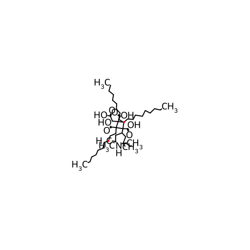 CCCCCCCCCCC(CC(=O)O)(C(=O)O)C(CCCCCCCCCC)(C(=O)O)C(CCCCCCCCCC)(C(=O)O)C1CC(C)(C)NC(C)(C)C1